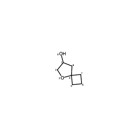 OC1COC2(CCC2)C1